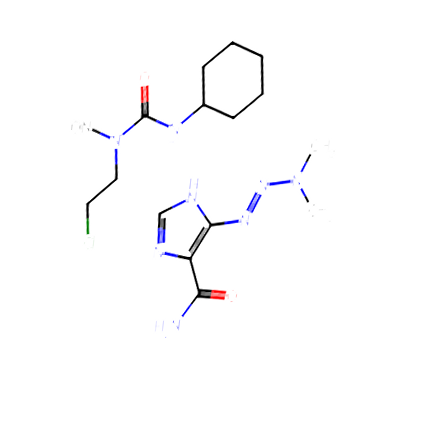 CN(C)/N=N/c1[nH]cnc1C(N)=O.O=NN(CCCl)C(=O)NC1CCCCC1